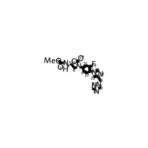 COC(=O)NC[C@H]1CN(c2ccc(-n3cnc(Cn4cncn4)c3)c(F)c2)C(=O)O1